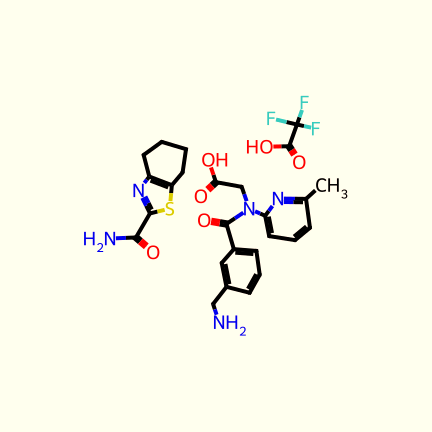 Cc1cccc(N(CC(=O)O)C(=O)c2cccc(CN)c2)n1.NC(=O)c1nc2c(s1)CCCC2.O=C(O)C(F)(F)F